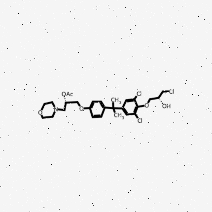 CC(=O)O[C@H](COc1ccc(C(C)(C)c2cc(Cl)c(OC[C@@H](O)CCl)c(Cl)c2)cc1)CN1CCOCC1